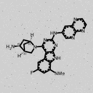 CNc1cc(F)cc2c1[nH]c1nc(Nc3cnc4nccnc4c3)nc(N3C[C@@H]4C[C@H]3C[C@@H]4N)c12